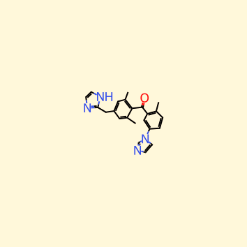 Cc1ccc(-n2ccnc2)cc1C(=O)c1c(C)cc(Cc2ncc[nH]2)cc1C